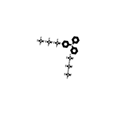 F[B-](F)(F)F.F[B-](F)(F)F.F[B-](F)(F)F.F[B-](F)(F)F.F[B-](F)(F)F.F[B-](F)(F)F.c1ccc([S+](c2ccccc2)c2ccccc2)cc1